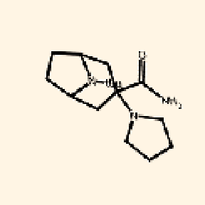 CC(C)(C)N1C2CCC1CC(C(N)=O)(N1CCCC1)C2